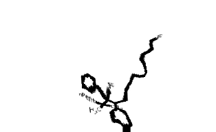 CCCCCC(C)(C)C(F)([C](CCCCCCCCF)c1ccccc1)c1ccccc1